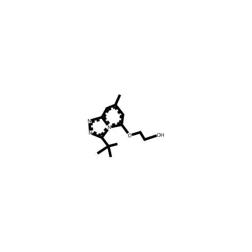 Cc1cc(OCCO)n2c(C(C)(C)C)nnc2c1